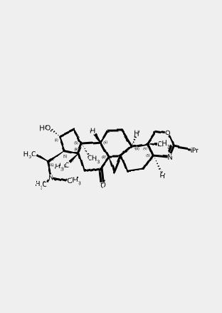 CC(C)C1=N[C@H]2CCC34C[C@]35C(=O)C[C@]3(C)[C@@H]([C@H](C)N(C)C)[C@H](O)C[C@@]3(C)[C@@H]5CC[C@H]4[C@]2(C)CO1